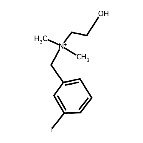 C[N+](C)(CCO)Cc1cccc(I)c1